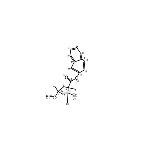 CCSC(C)(C)CC(C)(C(=O)Oc1ccc2ccccc2c1)C(C)(C)CC